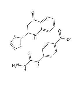 NNC(=O)Nc1ccc([N+](=O)[O-])cc1.O=C1CC(c2cccs2)Nc2ccccc21